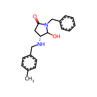 Cc1ccc(CN[C@@H]2CC(=O)N(Cc3ccccc3)C2O)cc1